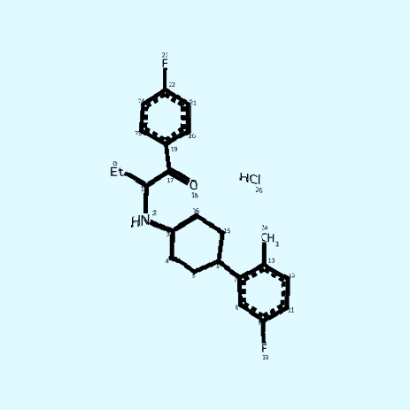 CCC(NC1CCC(c2cc(F)ccc2C)CC1)C(=O)c1ccc(F)cc1.Cl